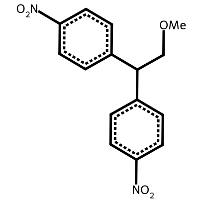 COCC(c1ccc([N+](=O)[O-])cc1)c1ccc([N+](=O)[O-])cc1